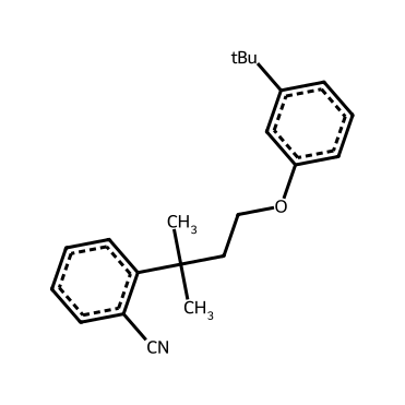 CC(C)(C)c1cccc(OCCC(C)(C)c2ccccc2C#N)c1